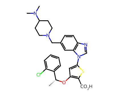 C[C@@H](Oc1cc(-n2cnc3ccc(CN4CCC(N(C)C)CC4)cc32)sc1C(=O)O)c1ccccc1Cl